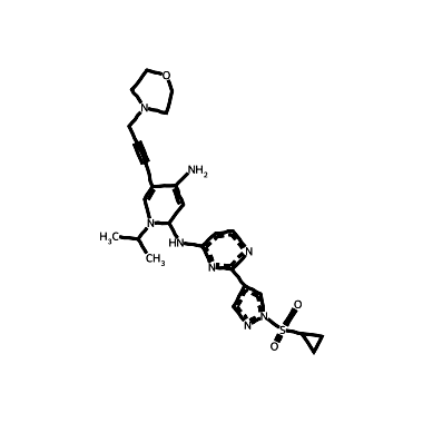 CC(C)N1C=C(C#CCN2CCOCC2)C(N)=CC1Nc1ccnc(-c2cnn(S(=O)(=O)C3CC3)c2)n1